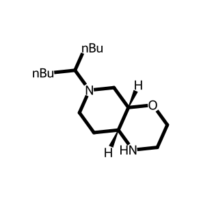 CCCCC(CCCC)N1CC[C@H]2NCCO[C@H]2C1